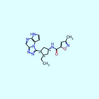 CC[C@@H]1C[C@H](NC(=O)c2cc(C)no2)C[C@@H]1c1nnc2cnc3[nH]ccc3n12